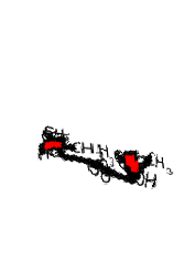 CCCCCC(OC(=O)CN1C2CCC1C(C(=O)OC)[C@@H](c1ccc(F)cc1)C2)C(O)C/C=C\CCCCCCCC(=O)CCOC(=O)CCCCCCC/C=C\CC(O)C(CCCCC)OC(=O)CN1C2CCC1C(C(=O)OC)[C@H](c1ccc(F)cc1)C2